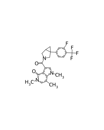 Cc1cn(C)c(=O)c2c(C(=O)N3CC4CC4(c4ccc(C(F)(F)F)c(F)c4)C3)cn(C)c12